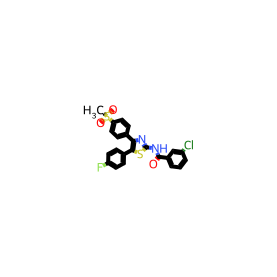 CS(=O)(=O)c1ccc(-c2nc(NC(=O)c3cccc(Cl)c3)sc2-c2ccc(F)cc2)cc1